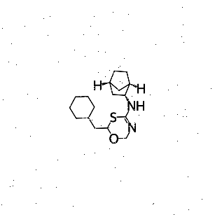 C1CCC(CC2OCN=C(N[C@H]3C[C@@H]4CC[C@H]3C4)S2)CC1